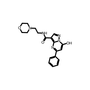 O=C(NCCN1CCOCC1)c1cnn2c(O)cc(-c3ccccc3)nc12